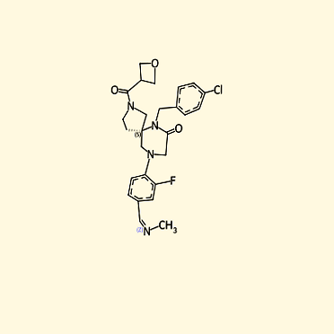 C/N=C\c1ccc(N2CC(=O)N(Cc3ccc(Cl)cc3)[C@@]3(CCN(C(=O)C4COC4)C3)C2)c(F)c1